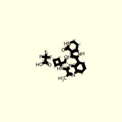 Cc1nc2cccc(-c3cc4c([nH]3)CCNC4=O)c2nc1NC1(CO)CCC1.O=C(O)C(F)(F)F